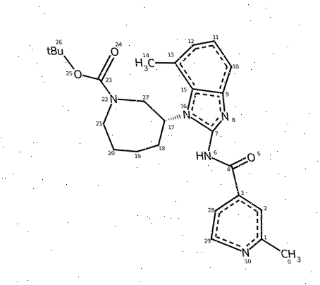 Cc1cc(C(=O)Nc2nc3cccc(C)c3n2[C@@H]2CCCCN(C(=O)OC(C)(C)C)C2)ccn1